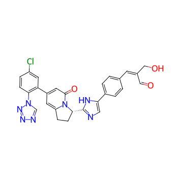 O=C/C(=C\c1ccc(-c2cnc([C@@H]3CCc4cc(-c5cc(Cl)ccc5-n5cnnn5)cc(=O)n43)[nH]2)cc1)CO